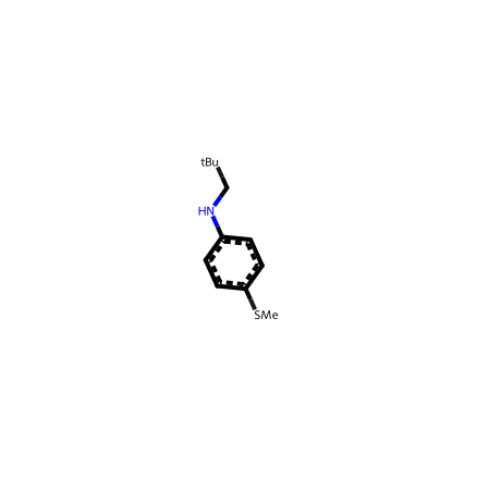 CSc1ccc(NCC(C)(C)C)cc1